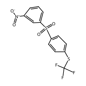 O=[N+]([O-])c1cccc(S(=O)(=O)c2ccc(SC(F)(F)F)cc2)c1